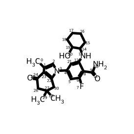 Cc1cn(-c2cc(F)c(C(N)=O)c(NC3CCCCC3O)c2)c2c1C(=O)CC(C)(C)C2